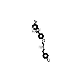 Clc1ccc(CCNCCOc2ccc(-c3nc4cc(Br)cnc4[nH]3)cc2)cc1